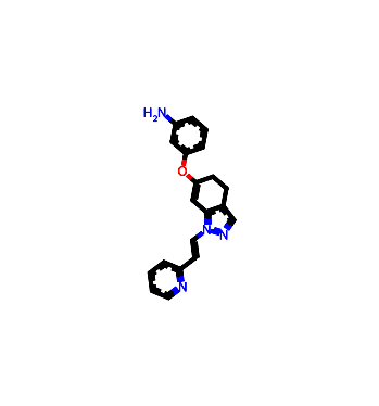 Nc1cccc(OC2=Cc3c(cnn3C=Cc3ccccn3)CC2)c1